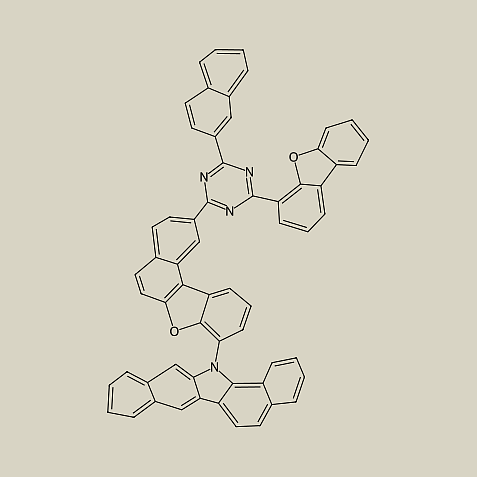 c1ccc2cc(-c3nc(-c4ccc5ccc6oc7c(-n8c9cc%10ccccc%10cc9c9ccc%10ccccc%10c98)cccc7c6c5c4)nc(-c4cccc5c4oc4ccccc45)n3)ccc2c1